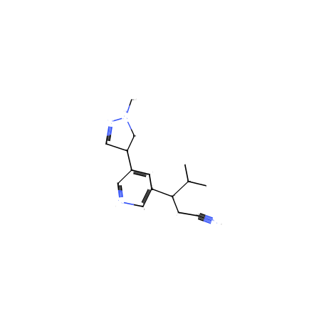 CC(C)C(CC#N)c1cncc(C2C=NN(C)C2)c1